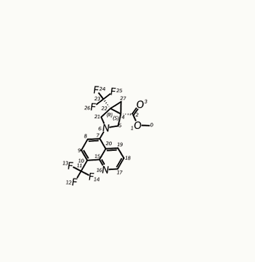 COC(=O)[C@]12CN(c3ccc(C(F)(F)F)c4ncccc34)C[C@@]1(C(F)(F)F)C2